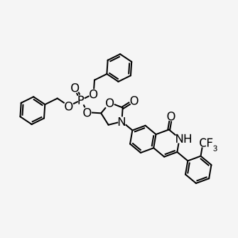 O=C1OC(OP(=O)(OCc2ccccc2)OCc2ccccc2)CN1c1ccc2cc(-c3ccccc3C(F)(F)F)[nH]c(=O)c2c1